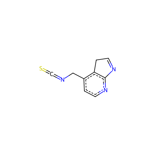 S=C=NCc1ccnc2c1CC=N2